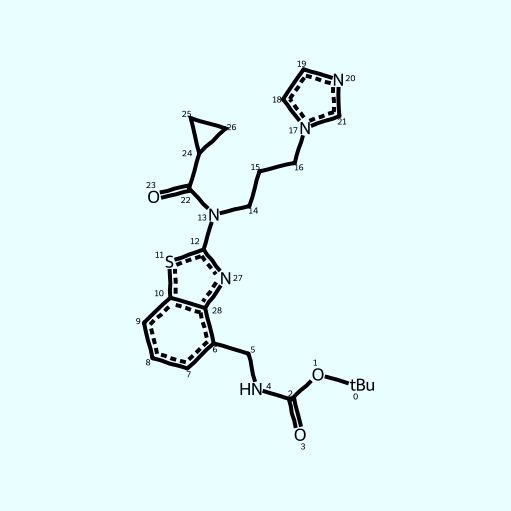 CC(C)(C)OC(=O)NCc1cccc2sc(N(CCCn3ccnc3)C(=O)C3CC3)nc12